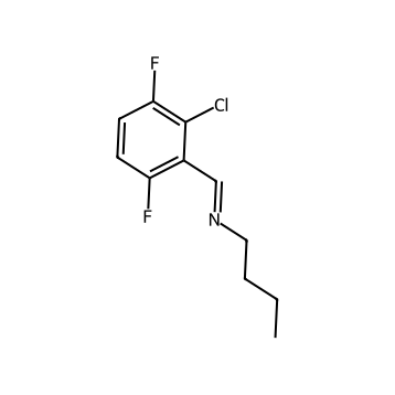 CCCC/N=C/c1c(F)ccc(F)c1Cl